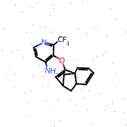 Nc1ccnc(C(F)(F)F)c1OC1=CC2CC3C=CC=CC13C2